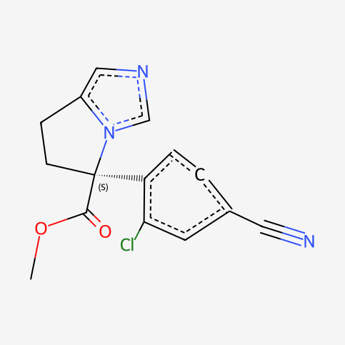 COC(=O)[C@@]1(c2ccc(C#N)cc2Cl)CCc2cncn21